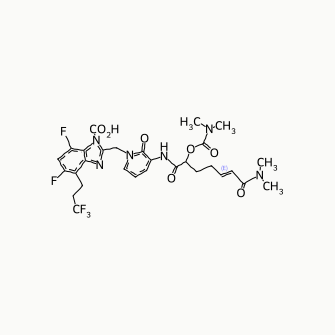 CN(C)C(=O)/C=C/CCC(OC(=O)N(C)C)C(=O)Nc1cccn(Cc2nc3c(CCC(F)(F)F)c(F)cc(F)c3n2C(=O)O)c1=O